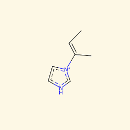 CC=C(C)[n+]1cc[nH]c1